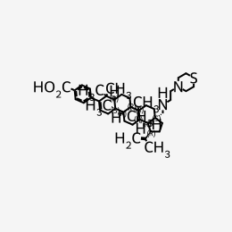 C=C(C)[C@@H]1CC[C@]2(CNCCN3CCSCC3)CC[C@]3(C)[C@H](CC[C@@H]4[C@@]5(C)CC=C(c6ccc(C(=O)O)cc6)C(C)(C)[C@@H]5CC[C@]43C)[C@@H]12